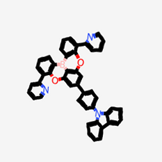 c1ccc(-c2cccc3c2Oc2cc(-c4ccc(-n5c6ccccc6c6ccccc65)cc4)cc4c2B3c2cccc(-c3ccccn3)c2O4)nc1